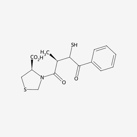 C[C@H](C(=O)N1CSC[C@H]1C(=O)O)C(S)C(=O)c1ccccc1